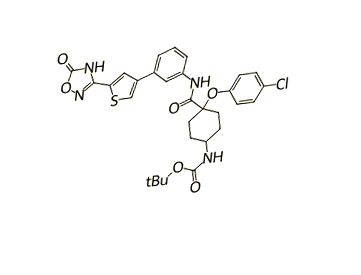 CC(C)(C)OC(=O)NC1CCC(Oc2ccc(Cl)cc2)(C(=O)Nc2cccc(-c3csc(-c4noc(=O)[nH]4)c3)c2)CC1